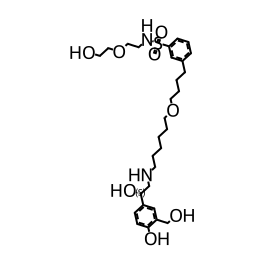 O=S(=O)(NCCOCCO)c1cccc(CCCCOCCCCCCNC[C@@H](O)c2ccc(O)c(CO)c2)c1